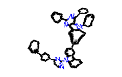 c1ccc(-c2ccc(-c3ccnc(-n4c5ccccc5c5cc(-c6ccc7c(c6)c6nc(-c8ccccc8)nc(-c8ccccc8)c6n7-c6ccccc6)ccc54)n3)cc2)cc1